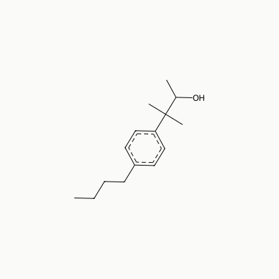 CCCCc1ccc(C(C)(C)C(C)O)cc1